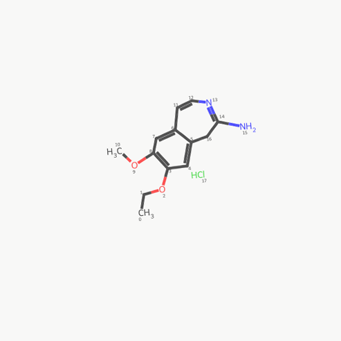 CCOc1cc2c(cc1OC)C=CN=C(N)C2.Cl